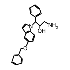 NCC(O)C(c1ccccc1)n1ccc2cc(OCc3ccccc3)ccc21